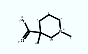 CC(C)C(=O)C1(C)CCCN(C)C1